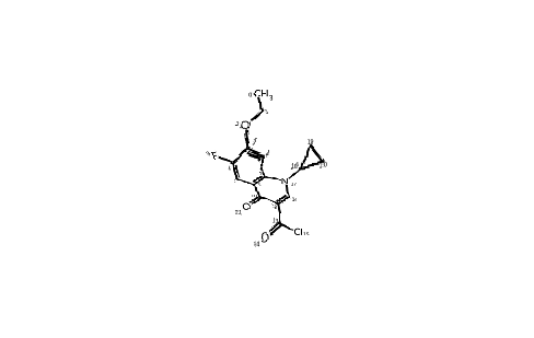 CCOc1cc2c(cc1F)c(=O)c(C(=O)Cl)cn2C1CC1